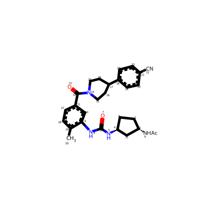 CC(=O)N[C@H]1CC[C@H](NC(=O)Nc2cc(C(=O)N3CCC(c4ccc(C#N)cc4)CC3)ccc2C)C1